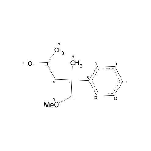 COCC(C)(CC(=O)C(F)(F)F)c1ccccc1